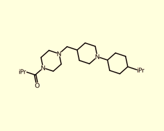 CC(C)C(=O)N1CCN(CC2CCN(C3CCC(C(C)C)CC3)CC2)CC1